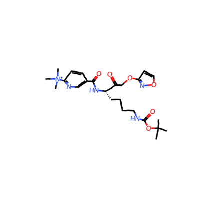 CC(C)(C)OC(=O)NCCCC[C@H](NC(=O)c1ccc([N+](C)(C)C)nc1)C(=O)COc1ccon1